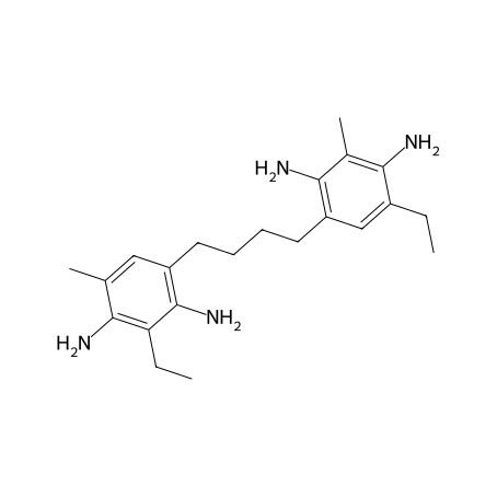 CCc1cc(CCCCc2cc(C)c(N)c(CC)c2N)c(N)c(C)c1N